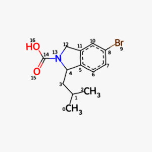 CC(C)CC1c2ccc(Br)cc2CN1C(=O)O